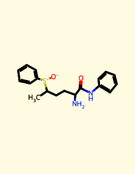 CC(CCC(N)C(=O)Nc1ccccc1)[S+]([O-])c1ccccc1